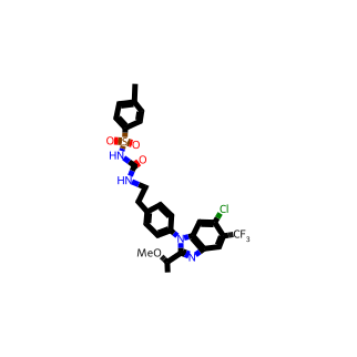 COC(C)c1nc2cc(C(F)(F)F)c(Cl)cc2n1-c1ccc(CCNC(=O)NS(=O)(=O)c2ccc(C)cc2)cc1